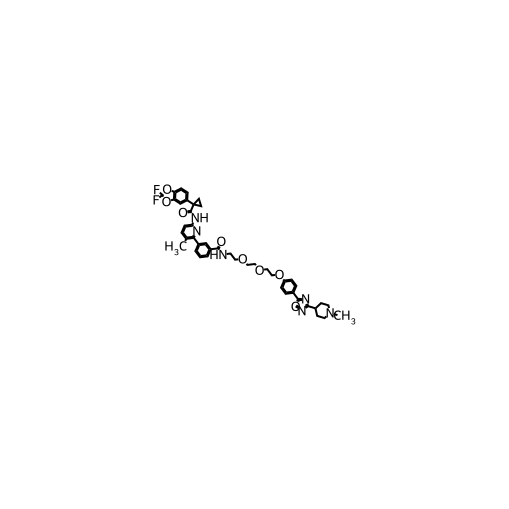 Cc1ccc(NC(=O)C2(c3ccc4c(c3)OC(F)(F)O4)CC2)nc1-c1cccc(C(=O)NCCOCCOCCOc2ccc(-c3nc(C4CCN(C)CC4)no3)cc2)c1